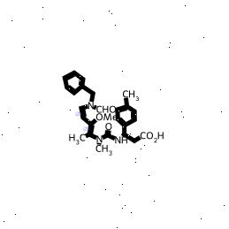 COC(/C=C\N(C=O)Cc1ccccc1)=C(/C)N(C)C(=O)NC(CC(=O)O)c1ccc(C)cc1